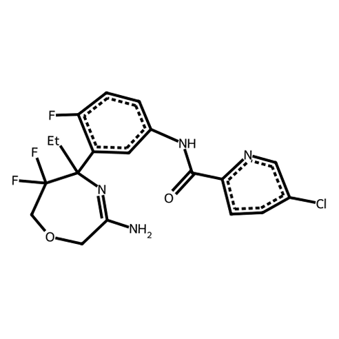 CCC1(c2cc(NC(=O)c3ccc(Cl)cn3)ccc2F)N=C(N)COCC1(F)F